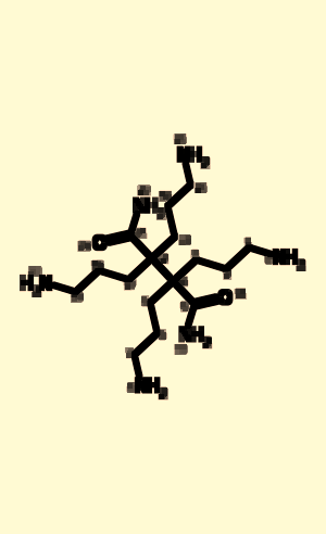 NCCCC(CCCN)(C(N)=O)C(CCCN)(CCCN)C(N)=O